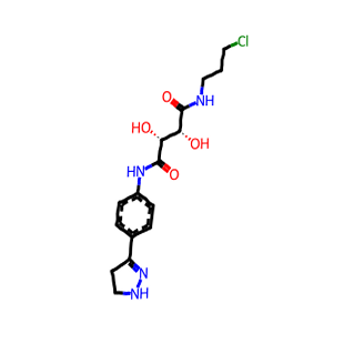 O=C(NCCCCl)[C@H](O)[C@@H](O)C(=O)Nc1ccc(C2=NNCC2)cc1